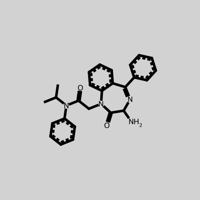 CC(C)N(C(=O)CN1C(=O)C(N)N=C(c2ccccc2)c2ccccc21)c1ccccc1